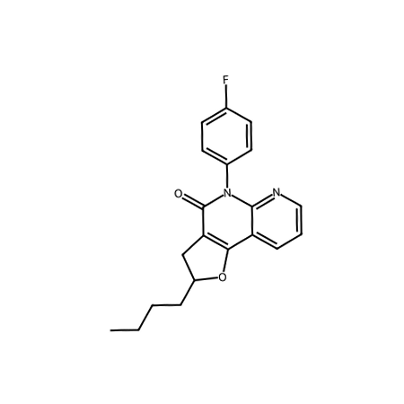 CCCCC1Cc2c(c3cccnc3n(-c3ccc(F)cc3)c2=O)O1